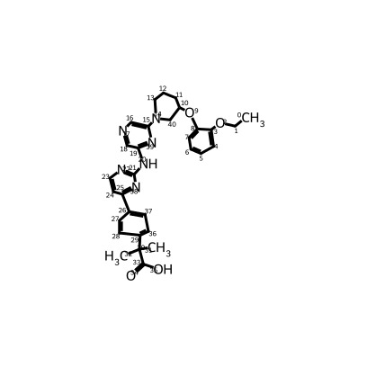 CCOc1ccccc1OC1CCCN(c2cncc(Nc3nccc(-c4ccc(C(C)(C)C(=O)O)cc4)n3)n2)C1